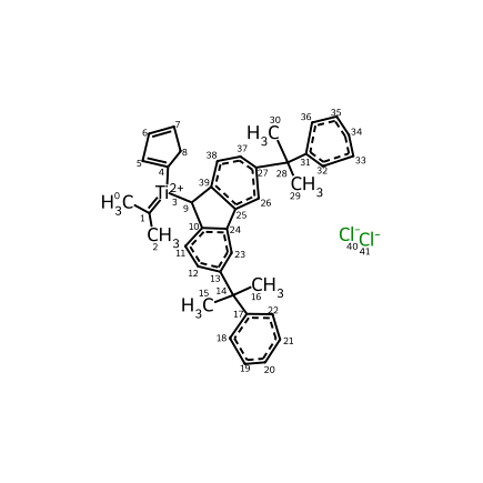 C[C](C)=[Ti+2]([C]1=CC=CC1)[CH]1c2ccc(C(C)(C)c3ccccc3)cc2-c2cc(C(C)(C)c3ccccc3)ccc21.[Cl-].[Cl-]